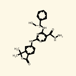 CC1(C)OC(=O)c2ccc(Nc3ncc(C(=O)NN)c(N[C@H](CO)c4ccccc4)n3)cc21